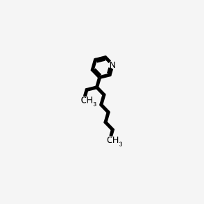 CCCCCCC(CC)c1cccnc1